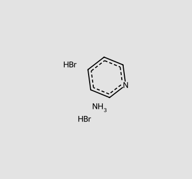 Br.Br.N.c1ccncc1